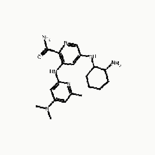 Cc1cc(N(C)C)cc(Nc2cc(N[C@@H]3CCCC[C@@H]3N)cnc2C(N)=O)n1